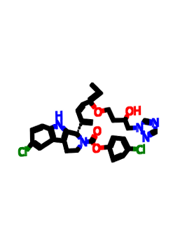 C=C(/C=C\C(=C/C)OCCC(O)Cn1cncn1)[C@H]1c2[nH]c3ccc(Cl)cc3c2CCN1C(=O)Oc1ccc(Cl)cc1